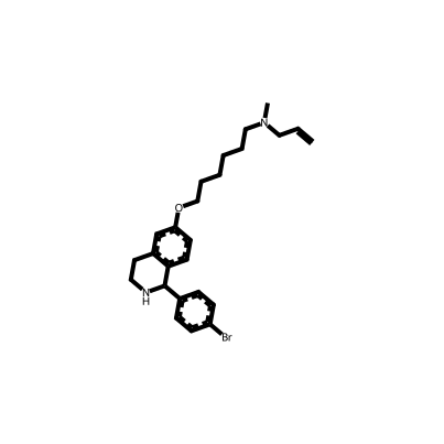 C=CCN(C)CCCCCCOc1ccc2c(c1)CCNC2c1ccc(Br)cc1